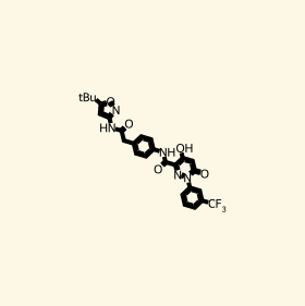 CC(C)(C)c1cc(NC(=O)Cc2ccc(NC(=O)c3nn(-c4cccc(C(F)(F)F)c4)c(=O)cc3O)cc2)no1